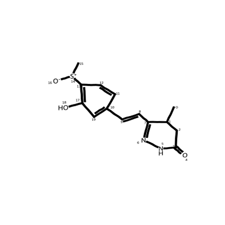 CC1CC(=O)NN=C1C=Cc1ccc([S+](C)[O-])c(O)c1